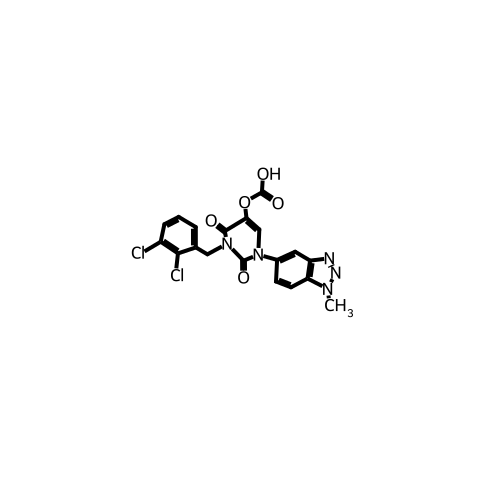 Cn1nnc2cc(-n3cc(OC(=O)O)c(=O)n(Cc4cccc(Cl)c4Cl)c3=O)ccc21